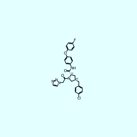 O=C(Nc1ccc(Oc2ccc(F)cc2)cc1)[C@@H]1C[C@@H](Cc2ccc(Cl)cc2)CN1C(=O)Cn1ccnn1